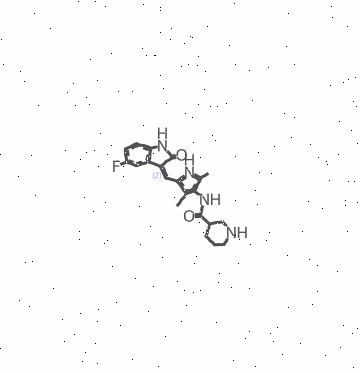 Cc1[nH]c(/C=C2\C(=O)Nc3ccc(F)cc32)c(C)c1NC(=O)C1CCCNC1